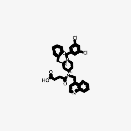 O=C(O)CCC(=O)N(Cc1ccnc2ccccc12)[C@H]1CCN(C(=O)c2cc(Cl)cc(Cl)c2)[C@H](Cc2ccccc2)C1